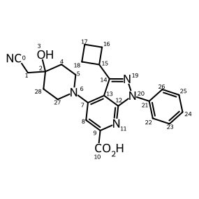 N#CCC1(O)CCN(c2cc(C(=O)O)nc3c2c(C2CCC2)nn3-c2ccccc2)CC1